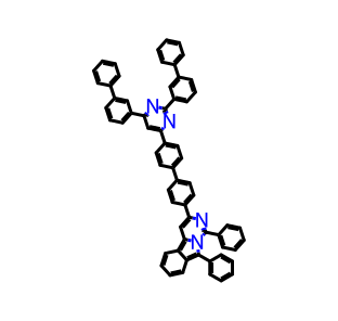 c1ccc(-c2cccc(-c3cc(-c4ccc(-c5ccc(-c6cc7c8ccccc8c(-c8ccccc8)n7c(-c7ccccc7)n6)cc5)cc4)nc(-c4cccc(-c5ccccc5)c4)n3)c2)cc1